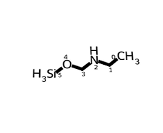 CCNCO[SiH3]